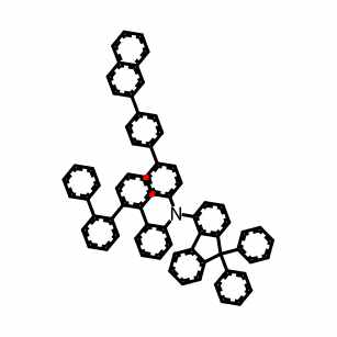 c1ccc(-c2ccccc2-c2ccccc2-c2ccccc2N(c2ccc(-c3ccc(-c4ccc5ccccc5c4)cc3)cc2)c2cccc3c2-c2ccccc2C3(c2ccccc2)c2ccccc2)cc1